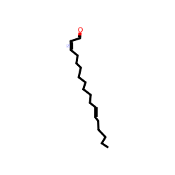 CCCCCC=CCCCCCCCC/C=C\C=O